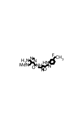 CNCc1c(N)ncnc1C(=O)NCc1cc(-c2nc3ccc(C(C)F)cc3[nH]2)on1